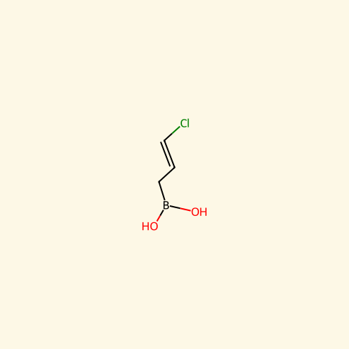 OB(O)CC=CCl